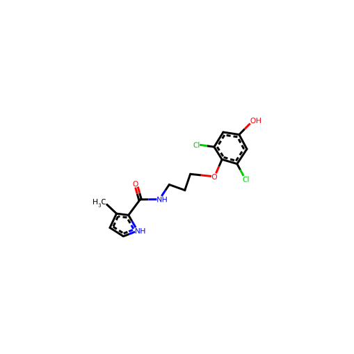 Cc1cc[nH]c1C(=O)NCCCOc1c(Cl)cc(O)cc1Cl